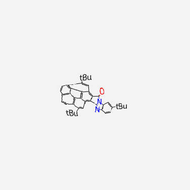 CC(C)(C)c1ccc2nc3c4c5cc(C(C)(C)C)c6ccc7ccc8c(C(C)(C)C)cc(c4c(=O)n3c2c1)c1c8c7c6c51